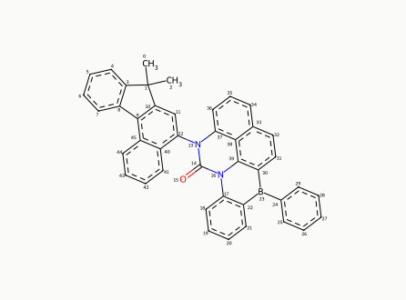 CC1(C)c2ccccc2-c2c1cc(N1C(=O)N3c4ccccc4B(c4ccccc4)c4ccc5cccc1c5c43)c1ccccc21